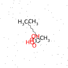 Cc1ccc(C(=O)O)c(C(=O)O)c1CCCCCCCCC(C)C